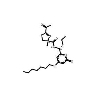 CCCCCCCOc1cc([C@@H](CCC)NC(=O)[C@]2(C)CSC(C(C)=O)=N2)oc(=O)c1